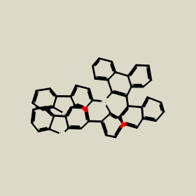 c1ccc(N(c2ccc3c(c2)sc2ccccc23)c2c(-c3cccc4ccccc34)c3ccccc3c3ccccc23)c(-c2ccc3c(c2)sc2ccccc23)c1